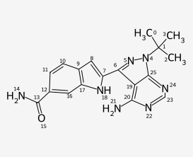 CC(C)(C)n1nc(-c2cc3ccc(C(N)=O)cc3[nH]2)c2c(N)ncnc21